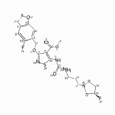 COC(=O)c1c(OCc2cc3c(cc2F)CCO3)nsc1NC(=O)NCCCN1CC[C@@H](F)C1